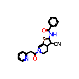 N#CC1C(NC(=O)c2ccccc2)SC2=CN(C(=O)Cc3ccccn3)CCC21